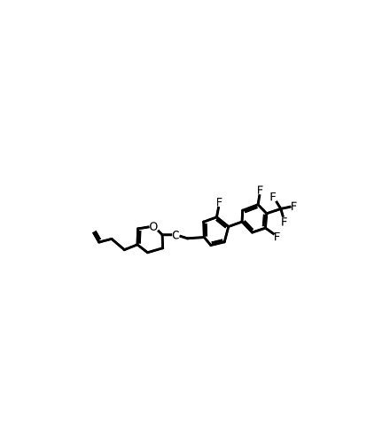 C=CCCC1=COC(CCc2ccc(-c3cc(F)c(C(F)(F)F)c(F)c3)c(F)c2)CC1